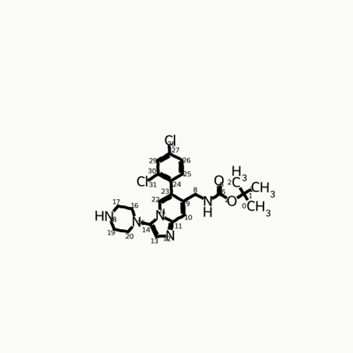 CC(C)(C)OC(=O)NCc1cc2ncc(N3CCNCC3)n2cc1-c1ccc(Cl)cc1Cl